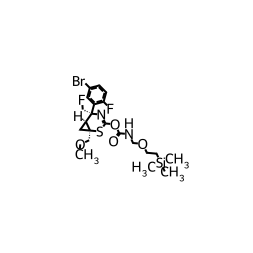 COC[C@]12C[C@H]1[C@@](CF)(c1cc(Br)ccc1F)N=C(OC(=O)NCOCC[Si](C)(C)C)S2